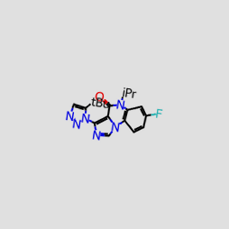 CC(C)n1c(=O)c2c(-n3nncc3C(C)(C)C)ncn2c2ccc(F)cc21